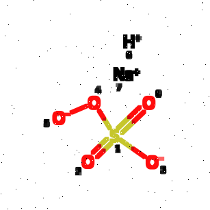 O=S(=O)([O-])O[O-].[H+].[Na+]